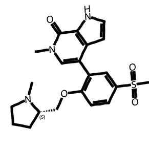 CN1CCC[C@H]1COc1ccc(S(C)(=O)=O)cc1-c1cn(C)c(=O)c2[nH]ccc12